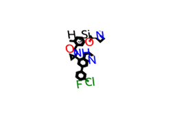 Cc1ccc(OC([SiH3])[C@@H]2CCN2C)cc1C(=O)NC1(c2cc(-c3ccc(F)c(Cl)c3)cc3ncccc23)CC1